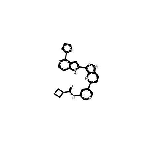 O=C(Nc1cncc(-c2ccc3[nH]nc(-c4cc5c(-c6cccs6)nccc5[nH]4)c3n2)c1)C1CCC1